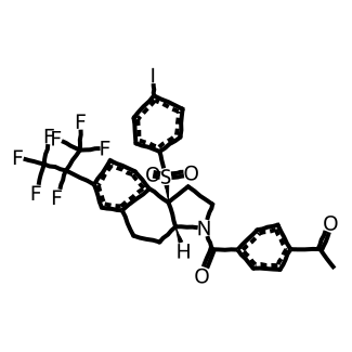 CC(=O)c1ccc(C(=O)N2CC[C@@]3(S(=O)(=O)c4ccc(I)cc4)c4ccc(C(F)(C(F)(F)F)C(F)(F)F)cc4CC[C@@H]23)cc1